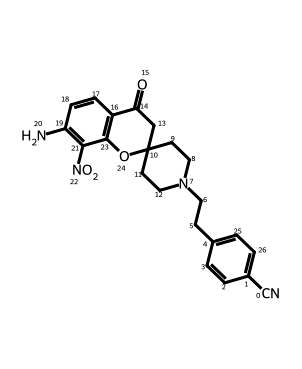 N#Cc1ccc(CCN2CCC3(CC2)CC(=O)c2ccc(N)c([N+](=O)[O-])c2O3)cc1